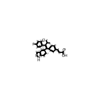 CC(C)C(=C(c1ccc(C=CC(=O)O)cc1)c1ccc2[nH]ncc2c1)c1ccc(F)cc1Cl